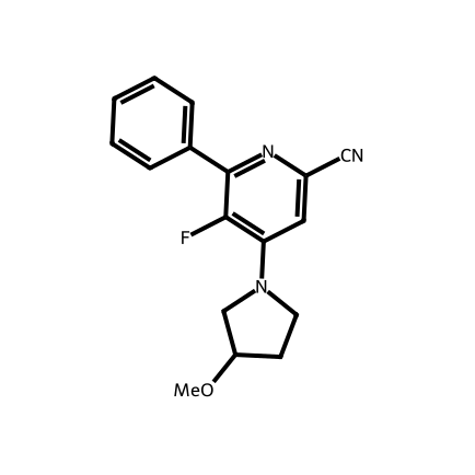 COC1CCN(c2cc(C#N)nc(-c3ccccc3)c2F)C1